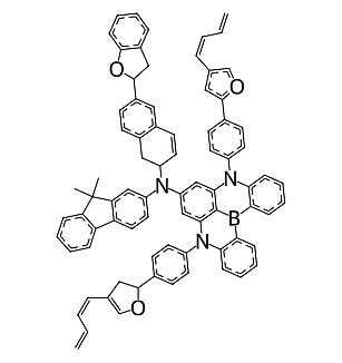 C=C/C=C\C1=COC(c2ccc(N3c4ccccc4B4c5ccccc5N(c5ccc(-c6cc(/C=C\C=C)co6)cc5)c5cc(N(c6ccc7c(c6)C(C)(C)c6ccccc6-7)C6C=Cc7cc(C8Cc9ccccc9O8)ccc7C6)cc3c54)cc2)C1